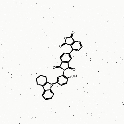 O=C1OC(=O)c2c1cccc2-c1ccc2c(c1)C(=O)N(c1cc(-n3c4c(c5ccccc53)CCCC4)ccc1O)C2=O